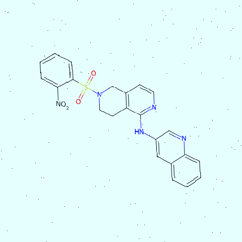 O=[N+]([O-])c1ccccc1S(=O)(=O)N1CCc2c(ccnc2Nc2cnc3ccccc3c2)C1